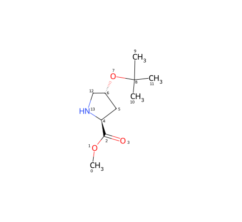 COC(=O)[C@@H]1C[C@@H](OC(C)(C)C)CN1